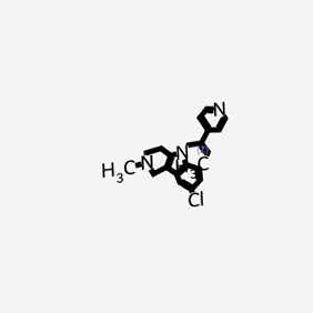 C/C=C(\Cn1c2c(c3cc(Cl)ccc31)CN(C)CC2)c1ccncc1